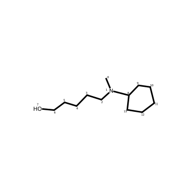 CN(CCCCCO)C1CCCCC1